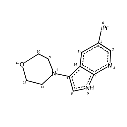 CC(C)c1cnc2[nH]cc(N3CCOCC3)c2c1